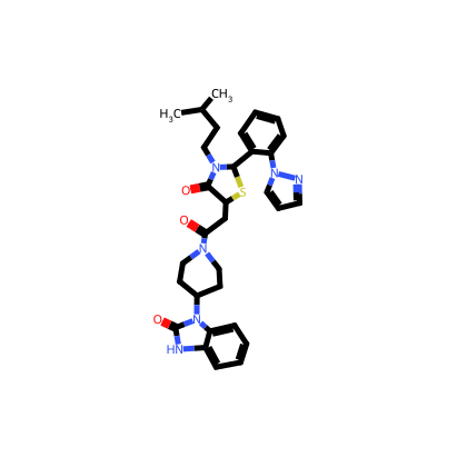 CC(C)CCN1C(=O)C(CC(=O)N2CCC(n3c(=O)[nH]c4ccccc43)CC2)SC1c1ccccc1-n1cccn1